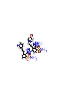 NS(=O)(=O)c1cccc(C#Cc2cccnc2)c1-c1nnn(-c2ccc(S(N)(=O)=O)c(-c3nn[nH]n3)c2C#CCN2CCC(=O)CC2)n1